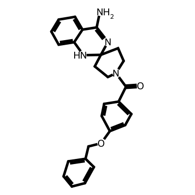 NC1=NC2(CCN(C(=O)c3ccc(OCc4ccccc4)cc3)CC2)Nc2ccccc21